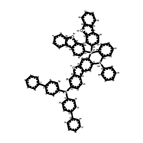 c1ccc(-c2ccc(N(c3ccc(-c4ccccc4)cc3)c3ccc4c(c3)oc3cc5c(cc34)N(c3ccccc3)c3ccccc3[Si]5(c3ccc4c(c3)oc3ccccc34)c3ccc4c(c3)oc3ccccc34)cc2)cc1